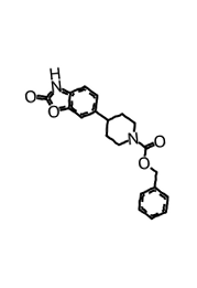 O=C(OCc1ccccc1)N1CCC(c2ccc3[nH]c(=O)oc3c2)CC1